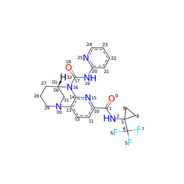 O=C(NC1(C(F)(F)F)CC1)c1ccc2c(n1)N(C(=O)Nc1ccccn1)[C@H]1CCCN2C1